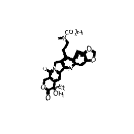 CC[C@@]1(O)C(=O)OCc2c1cc1n(c2=O)Cc2c-1nc1cc3c(cc1c2CCN(C)C(=O)O)OCO3